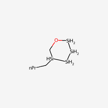 CCCC[SiH]1CO[SiH2][SiH2][SiH2]1